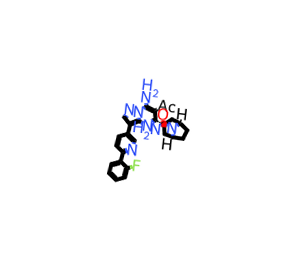 CC(=O)c1c([C@@H]2C[C@H]3CC[C@@H](C2)N3C(N)=O)nc2c(-c3ccc(-c4ccccc4F)nc3)cnn2c1N